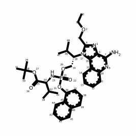 CCOCc1nc2c(N)nc3ccccc3c2n1[C@H](COP(=O)(N[C@H](C(=O)OC(C)(C)C)C(C)C)Oc1cccc2ccccc12)C(C)C